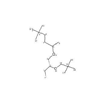 CCC(COC(C)CCC(C)(C)I)OCC(C)(C)C